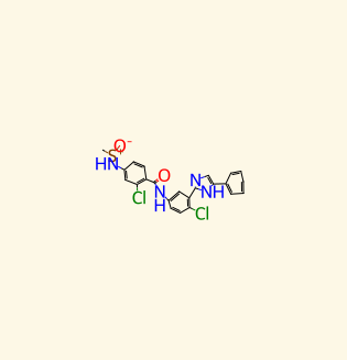 C[S+]([O-])Nc1ccc(C(=O)Nc2ccc(Cl)c(-c3ncc(-c4ccccc4)[nH]3)c2)c(Cl)c1